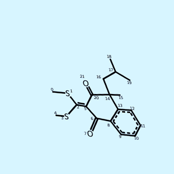 CSC(SC)=C1C(=O)c2ccccc2C(C)(CC(C)C)C1=O